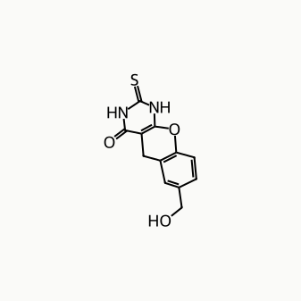 O=c1[nH]c(=S)[nH]c2c1Cc1cc(CO)ccc1O2